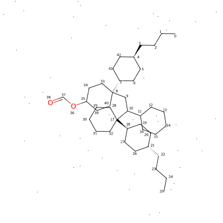 CCCC[C@H]1CC[C@H](C2(CC(C3CCCCC3)C3([C@H]4CC[C@H](CCCC)CC4)CCCCC3)CCC(OC=O)CC2)CC1